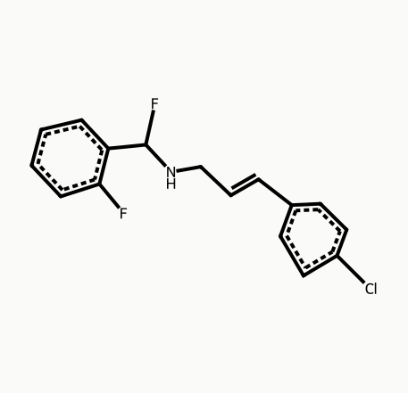 Fc1ccccc1C(F)NCC=Cc1ccc(Cl)cc1